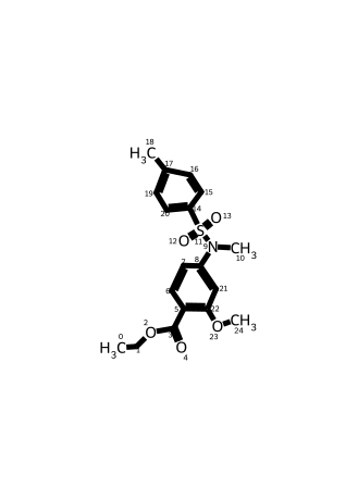 CCOC(=O)c1ccc(N(C)S(=O)(=O)c2ccc(C)cc2)cc1OC